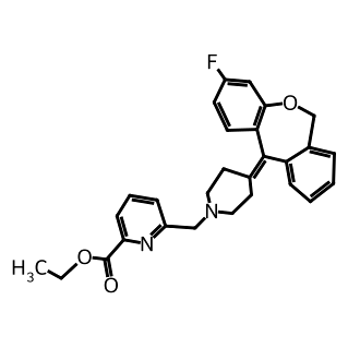 CCOC(=O)c1cccc(CN2CCC(=C3c4ccccc4COc4cc(F)ccc43)CC2)n1